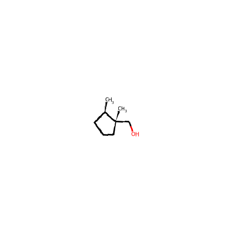 C[C@@H]1CCC[C@@]1(C)CO